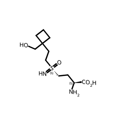 N=[S@@](=O)(CC[C@H](N)C(=O)O)CCC1(CO)CCC1